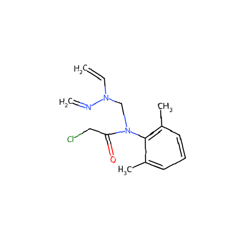 C=CN(CN(C(=O)CCl)c1c(C)cccc1C)N=C